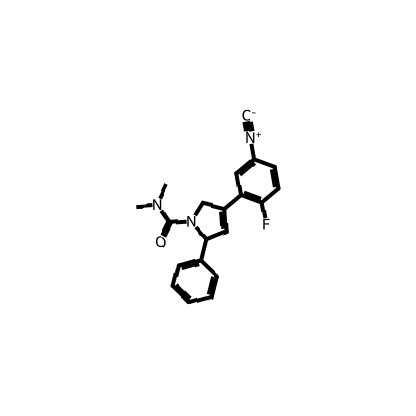 [C-]#[N+]c1ccc(F)c(C2=CC(c3ccccc3)N(C(=O)N(C)C)C2)c1